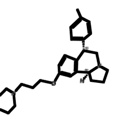 Cc1ccc([C@@H]2CN3CCC[C@H]3c3cc(OCCCN4CCCCC4)ccc32)cc1